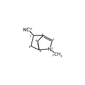 CN1C=C2CC1CC2C#N